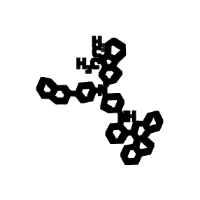 CC1(C)C2=C(C=CC(N(c3ccc(Nc4ccccc4-c4cc5ccccc5c5ccc6ccccc6c45)cc3)c3ccc(-c4ccc5ccccc5c4)cc3)C2)c2ccccc21